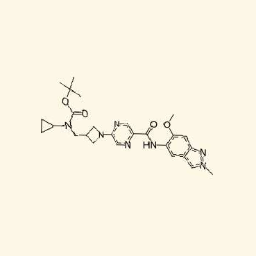 COc1cc2nn(C)cc2cc1NC(=O)c1cnc(N2CC(CN(C(=O)OC(C)(C)C)C3CC3)C2)cn1